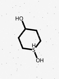 OC1CC[SH](O)CC1